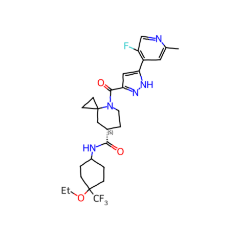 CCOC1(C(F)(F)F)CCC(NC(=O)[C@H]2CCN(C(=O)c3cc(-c4cc(C)ncc4F)[nH]n3)C3(CC3)C2)CC1